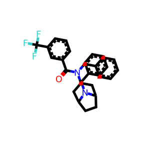 O=C(c1cccc(C(F)(F)F)c1)N(Cc1ccccc1)C1CC2CCC(C1)N2Cc1ccccc1